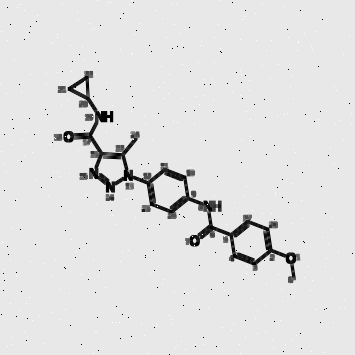 COc1ccc(C(=O)Nc2ccc(-n3nnc(C(=O)NC4CC4)c3C)cc2)cc1